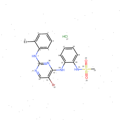 CCc1ccccc1Nc1ncc(Br)c(Nc2ccccc2NS(C)(=O)=O)n1.Cl